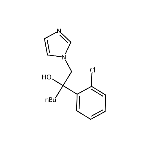 CCCCC(O)(Cn1ccnc1)c1ccccc1Cl